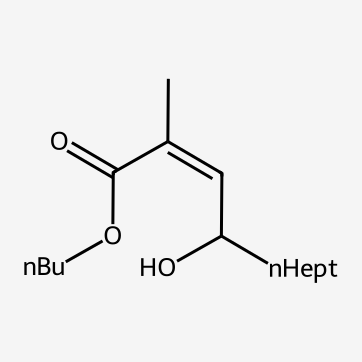 CCCCCCCC(O)C=C(C)C(=O)OCCCC